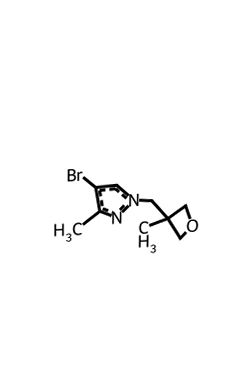 Cc1nn(CC2(C)COC2)cc1Br